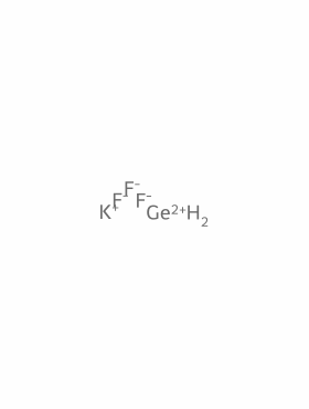 [F-].[F-].[F-].[GeH2+2].[K+]